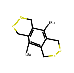 CC(C)(C)c1c2c(c(C(C)(C)C)c3c1CSSC3)CSSC2